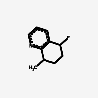 CC1CCC(F)c2cccnc21